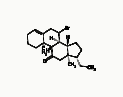 CC[C@H]1CC[C@H]2[C@@H]3C(Br)CC4=CCCC[C@]4(C)[C@H]3C(=O)C[C@]12C